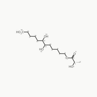 C[C@H](O)C(=O)OCCCCCC(O)C(O)CCCCC(=O)O